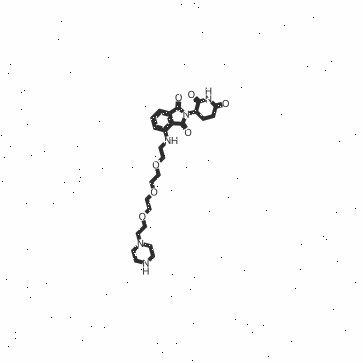 O=C1CCC(N2C(=O)c3cccc(NCCOCCOCCOCCN4CCNCC4)c3C2=O)C(=O)N1